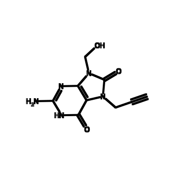 C#CCn1c(=O)n(CO)c2nc(N)[nH]c(=O)c21